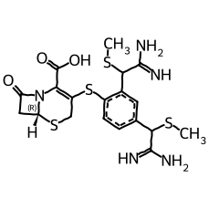 CSC(C(=N)N)c1ccc(SC2=C(C(=O)O)N3C(=O)C[C@H]3SC2)c(C(SC)C(=N)N)c1